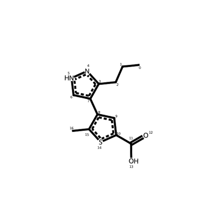 CCCc1n[nH]cc1-c1cc(C(=O)O)sc1C